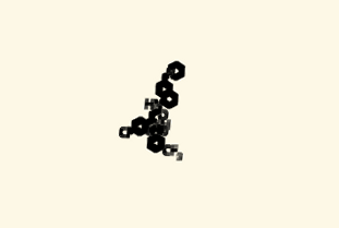 O=C(CC(NS(=O)(=O)c1cccc(C(F)(F)F)c1)c1ccc(Cl)cc1)NC1CCCc2cc(CN3CCCCC3)ccc21